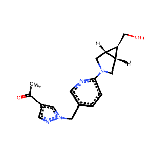 COC(=O)c1cnn(Cc2ccc(N3C[C@@H]4[C@@H](CO)[C@@H]4C3)nc2)c1